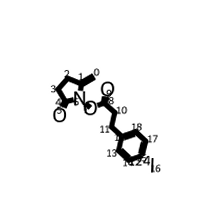 C=C1CCC(=O)N1OC(=O)CCc1ccc([124I])cc1